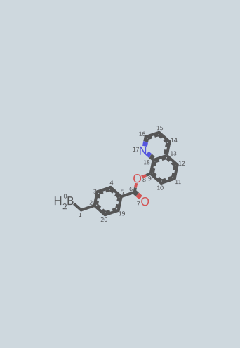 BCc1ccc(C(=O)Oc2cccc3cccnc23)cc1